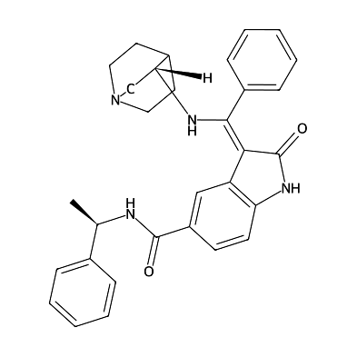 C[C@@H](NC(=O)c1ccc2c(c1)C(=C(N[C@@H]1CN3CCC1CC3)c1ccccc1)C(=O)N2)c1ccccc1